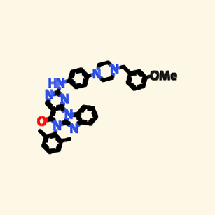 COc1cccc(CN2CCN(c3ccc(Nc4ncc5c(=O)n(-c6c(C)cccc6C)c6nc7ccccc7n6c5n4)cc3)CC2)c1